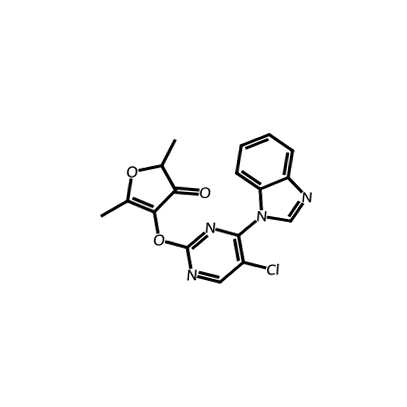 CC1=C(Oc2ncc(Cl)c(-n3cnc4ccccc43)n2)C(=O)C(C)O1